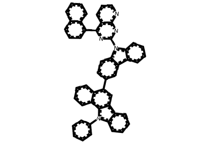 c1ccc(-n2c3ccccc3c3cc(-c4ccc5c(c4)c4ccccc4n5-c4nc(-c5cccc6ccccc56)c5cccnc5n4)c4ccccc4c32)cc1